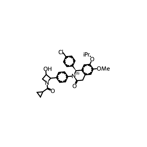 COc1cc2c(cc1OC(C)C)[C@H](c1ccc(Cl)cc1)N(c1ccc(C3C(O)CN3C(=O)C3CC3)cc1)C(=O)C2